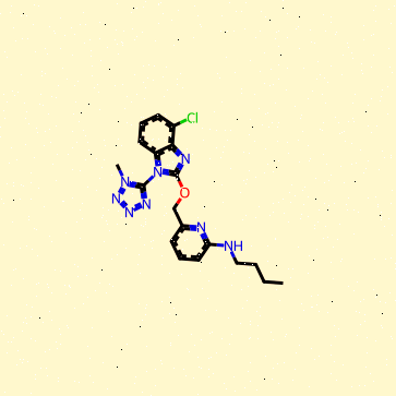 CCCCNc1cccc(COc2nc3c(Cl)cccc3n2-c2nnnn2C)n1